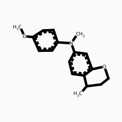 COc1ccc(N(C)c2ccc3c(c2)OCCC3C)cc1